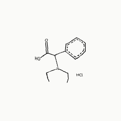 CCN(CC)C(C(=O)O)c1ccccc1.Cl